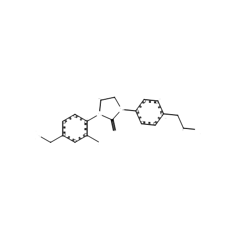 Cc1cc(CN)ccc1N1CCN(c2ccc(CCC(=O)O)cc2)C1=O